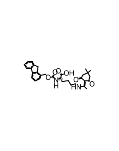 CC(NCCCC[C@@H](NC(=O)OCc1cccc2c1Cc1ccccc1-2)C(=O)O)=C1C(=O)CC(C)(C)CC1=O